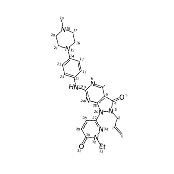 C=CCn1c(=O)c2cnc(Nc3ccc(N4CCN(C)CC4)cc3)nc2n1-c1ccc(=O)n(CC)n1